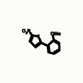 COc1ccccc1-c1ccc([N+](=O)[O-])s1